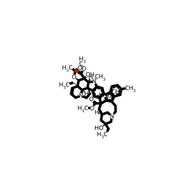 CC[C@]1(O)C[C@@H]2CN(CCc3c([nH]c4ccc(C)cc34)C(C(=O)OC)(c3cc4c(cc3OC)N(C)[C@H]3C(O)(C(=O)OC)[C@H](OC(C)=O)[C@]5(CC)C=CCN6CC[C@]43[C@@H]65)C2)C1